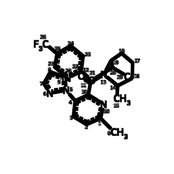 Cc1ccc(-n2nccn2)c(C(=O)N2C(C)C3CCC2C(Oc2ccc(C(F)(F)F)cn2)C3)n1